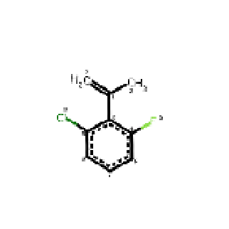 C=C(C)c1c(F)cccc1Cl